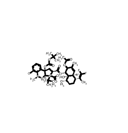 CC(=O)OC1C(C)=C[C@H]2[C@H](C(C)=C(F)F)CC[C@H](C)[C@@]2(O)[C@@H]1OC(=O)[C@@H]1C[C@@]2(OC(=O)OC(C)(C)C)c3cccc(Cl)c3N(C)O[C@H]2[N+]1(C(=O)[O-])C(C)(C)C